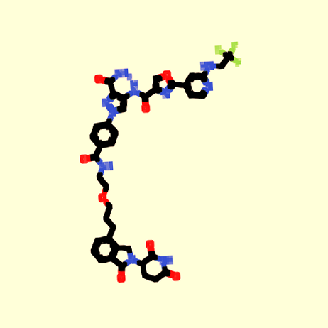 NC(=O)c1nn(-c2ccc(C(=O)NCCOCCCc3cccc4c3CN(C3CCC(=O)NC3=O)C4=O)cc2)cc1NC(=O)c1coc(-c2ccnc(NCC(F)(F)F)c2)n1